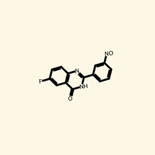 O=Nc1cccc(-c2nc3ccc(F)cc3c(=O)[nH]2)c1